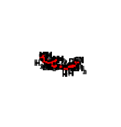 Cc1ncsc1-c1ccc([C@H](C)NC(=O)[C@@H]2C[C@@H](OC(=O)[C@@H](N)C(C)C)CN2C(=O)[C@@H](NC(=O)COCCCCCNc2ccc(C(=O)N[C@H]3C(C)(C)[C@H](Oc4ccc(C#N)c(Cl)c4)C3(C)C)cc2)C(C)(C)C)cc1